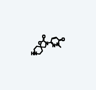 Cn1nc(N2CC3(CCNCC3)OC2=O)ccc1=O